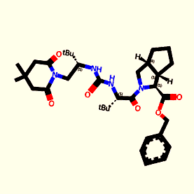 CC1(C)CC(=O)N(C[C@@H](NC(=O)N[C@H](C(=O)N2C[C@@H]3CCC[C@@H]3[C@H]2C(=O)OCc2ccccc2)C(C)(C)C)C(C)(C)C)C(=O)C1